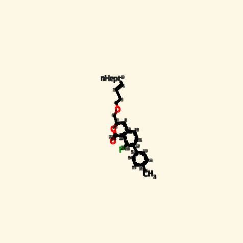 CCCCCCC/C=C/CCOCc1cc2ccc(-c3ccc(C)cc3)c(F)c2c(=O)o1